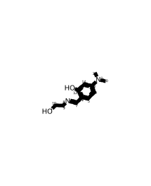 CN(C)c1ccc(/C=N/CCO)c(O)c1